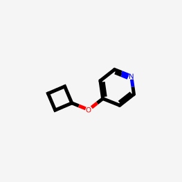 c1cc(OC2CCC2)ccn1